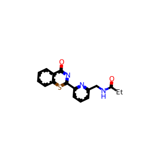 CCC(=O)NCc1cccc(-c2nc(=O)c3ccccc3s2)n1